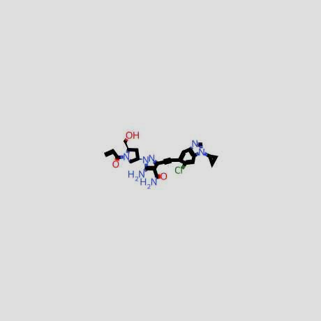 C=CC(=O)N1C[C@@H](n2nc(C#Cc3cc4ncn(C5CC5)c4cc3Cl)c(C(N)=O)c2N)C[C@@H]1CO